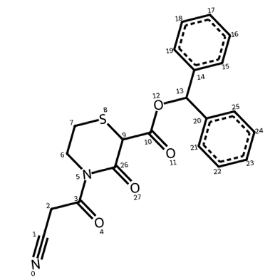 N#CCC(=O)N1CCSC(C(=O)OC(c2ccccc2)c2ccccc2)C1=O